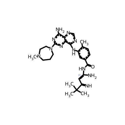 Cc1ccc(C(=O)N/C(N)=C/C(=N)C(C)(C)C)cc1Nc1ncnc2c(N)nc(N3CCCN(C)CC3)nc12